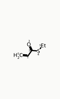 C=CC(=O)SCC